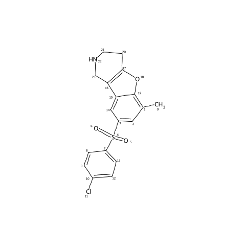 Cc1cc(S(=O)(=O)c2ccc(Cl)cc2)cc2c3c(oc12)CCNC3